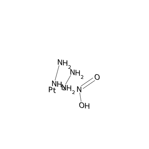 NN.NN.O=NO.[Pt]